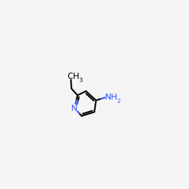 CCc1cc(N)ccn1